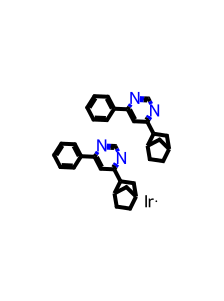 [Ir].c1ccc(-c2cc(C3CC4CCC3C4)ncn2)cc1.c1ccc(-c2cc(C3CC4CCC3C4)ncn2)cc1